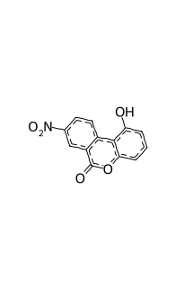 O=c1oc2cccc(O)c2c2ccc([N+](=O)[O-])cc12